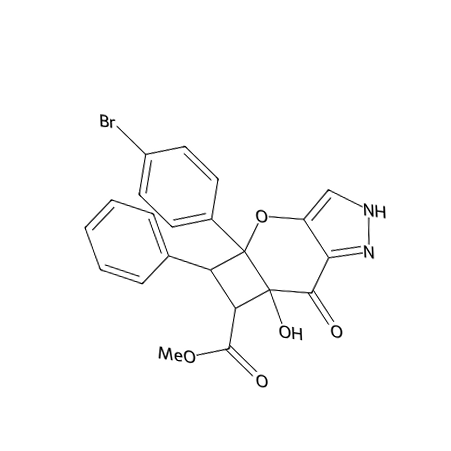 COC(=O)C1C(c2ccccc2)C2(c3ccc(Br)cc3)Oc3c[nH]nc3C(=O)C12O